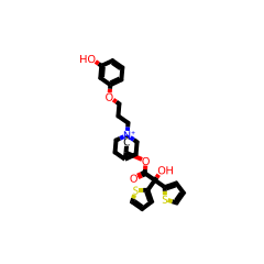 O=C(OC1C[N+]2(CCCOc3cccc(O)c3)CCC1CC2)C(O)(c1cccs1)c1cccs1